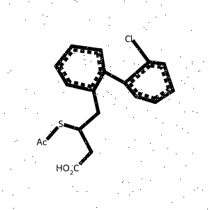 CC(=O)SC(CC(=O)O)Cc1ccccc1-c1ccccc1Cl